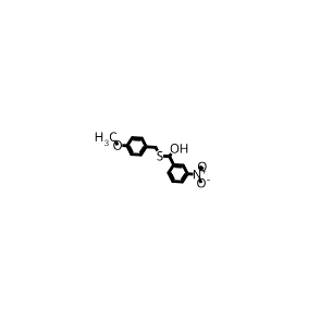 COc1ccc(CSC(O)c2cccc([N+](=O)[O-])c2)cc1